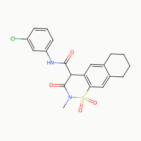 CN1C(=O)C(C(=O)Nc2cccc(Cl)c2)c2cc3c(cc2S1(=O)=O)CCCC3